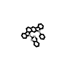 c1ccc(-n2c3ccccc3c3cc4ccc5c6ccccc6n(-c6ncc7ccccc7n6)c5c4cc32)cc1